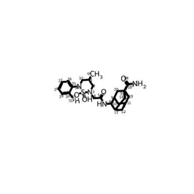 CC1CN(CC(=O)NC2C3CC4CC2CC(C(N)=O)(C4)C3)S(O)(O)N(c2ccccc2I)C1